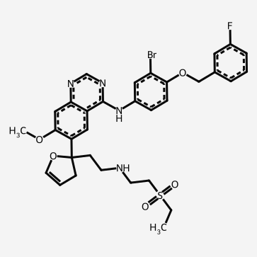 CCS(=O)(=O)CCNCCC1(c2cc3c(Nc4ccc(OCc5cccc(F)c5)c(Br)c4)ncnc3cc2OC)CC=CO1